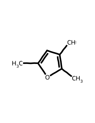 [CH]c1cc(C)oc1C